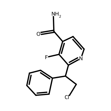 NC(=O)c1ccnc(C(CCl)c2ccccc2)c1F